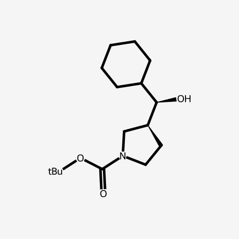 CC(C)(C)OC(=O)N1CC[C@H]([C@H](O)C2CCCCC2)C1